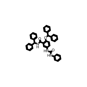 O=C(Nc1ccccc1)Nc1ccc(OC(c2ccccc2)c2ccccc2)c(C(=O)NC(c2ccccc2)c2ccccc2)c1